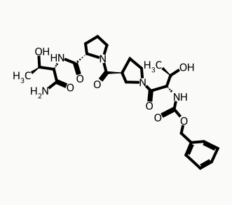 C[C@@H](O)[C@H](NC(=O)[C@@H]1CCCN1C(=O)[C@H]1CCN(C(=O)[C@@H](NC(=O)OCc2ccccc2)[C@@H](C)O)C1)C(N)=O